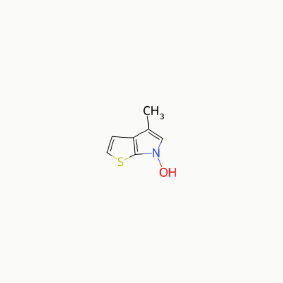 Cc1cn(O)c2sccc12